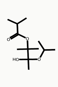 CC(C)OC(C)(O)C(C)(C)OC(=O)C(C)C